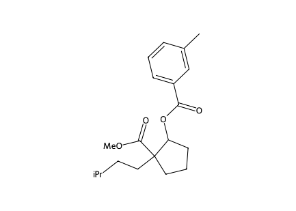 COC(=O)C1(CCC(C)C)CCCC1OC(=O)c1cccc(C)c1